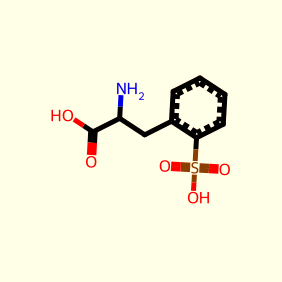 NC(Cc1ccccc1S(=O)(=O)O)C(=O)O